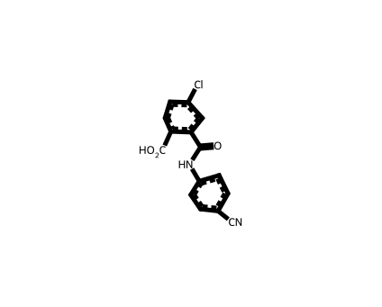 N#Cc1ccc(NC(=O)c2cc(Cl)ccc2C(=O)O)cc1